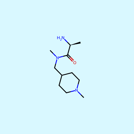 C[C@H](N)C(=O)N(C)CC1CCN(C)CC1